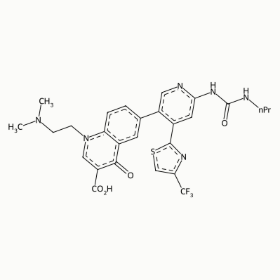 CCCNC(=O)Nc1cc(-c2nc(C(F)(F)F)cs2)c(-c2ccc3c(c2)c(=O)c(C(=O)O)cn3CCN(C)C)cn1